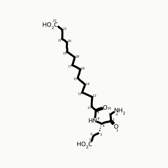 NCC(=O)[C@H](CCC(=O)O)NC(=O)CCCCCCCCCCCCC(=O)O